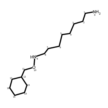 NCCCCCCCCNOCC1CCCCC1